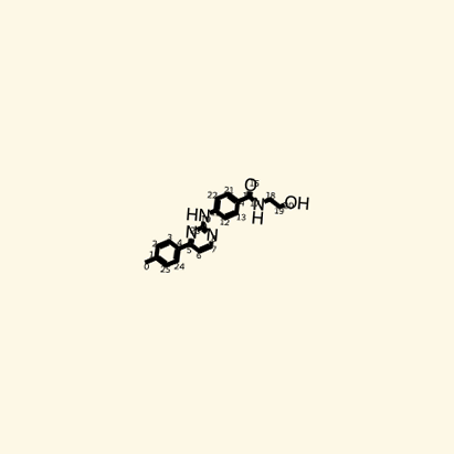 Cc1ccc(-c2ccnc(Nc3ccc(C(=O)NCCO)cc3)n2)cc1